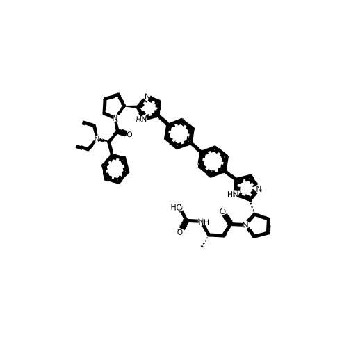 CCN(CC)[C@@H](C(=O)N1CCC[C@H]1c1ncc(-c2ccc(-c3ccc(-c4cnc([C@@H]5CCCN5C(=O)C[C@H](C)NC(=O)O)[nH]4)cc3)cc2)[nH]1)c1ccccc1